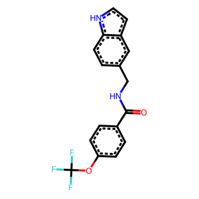 O=C(NCc1ccc2[nH]ccc2c1)c1ccc(OC(F)(F)F)cc1